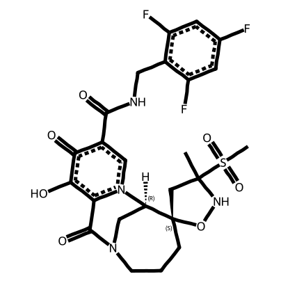 CC1(S(C)(=O)=O)C[C@]2(CCCN3C[C@H]2n2cc(C(=O)NCc4c(F)cc(F)cc4F)c(=O)c(O)c2C3=O)ON1